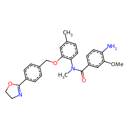 COc1cc(C(=O)N(C)c2ccc(C)cc2OCc2ccc(C3=NCCO3)cc2)ccc1N